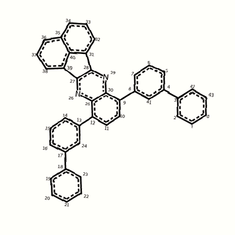 c1ccc(-c2cccc(-c3ccc(-c4cccc(-c5ccccc5)c4)c4nc5c(nc34)-c3cccc4cccc-5c34)c2)cc1